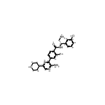 NC[C@@H](NC(=O)c1ccc(-c2nc(C3CCOCC3)cnc2N)cc1F)c1cccc(Cl)c1